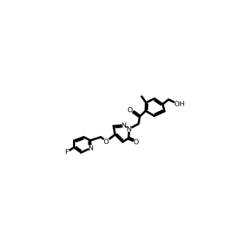 Cc1cc(CO)ccc1C(=O)Cn1ncc(OCc2ccc(F)cn2)cc1=O